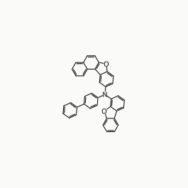 c1ccc(-c2ccc(N(c3ccc4oc5ccc6ccccc6c5c4c3)c3cccc4c3oc3ccccc34)cc2)cc1